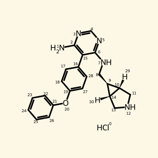 Cl.Nc1ncnc(NC[C@H]2[C@@H]3CNC[C@@H]32)c1-c1ccc(Oc2ccccc2)cc1